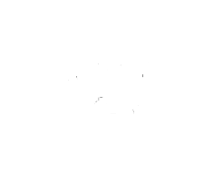 C=CCCC1CC(C)CCC/C(C)=C/CCOC(=O)CCC(C)(C)C1=O